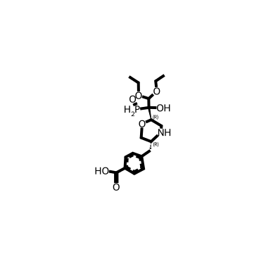 CCOC(OCC)C(O)([PH2]=O)[C@H]1CN[C@H](Cc2ccc(C(=O)O)cc2)CO1